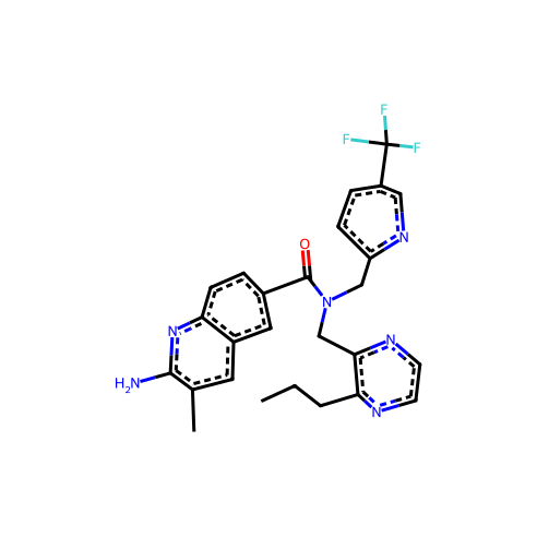 CCCc1nccnc1CN(Cc1ccc(C(F)(F)F)cn1)C(=O)c1ccc2nc(N)c(C)cc2c1